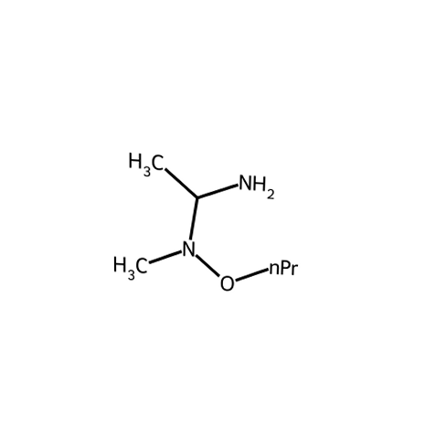 CCCON(C)C(C)N